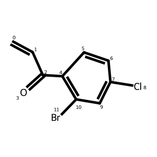 C=CC(=O)c1ccc(Cl)cc1Br